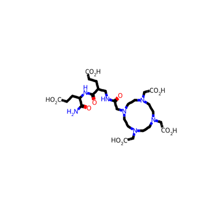 NC(=O)C(CCC(=O)O)NC(=O)C(CCC(=O)O)CNC(=O)CN1CCN(CC(=O)O)CCN(CC(=O)O)CCN(CC(=O)O)CC1